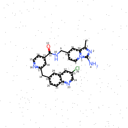 Cc1nc(N)n2ccc(CNC(=O)c3ccnc(Cc4ccc5ncc(Cl)cc5c4)c3)cc12